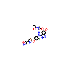 C=CC(=O)N1CC(Oc2cc3c(Nc4ccc(Oc5nc(-c6cnoc6)cs5)cc4F)ncnc3cc2OC)C1